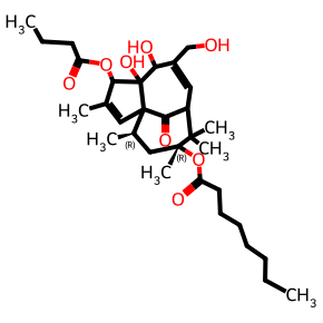 CCCCCCCC(=O)O[C@]1(C)C[C@@H](C)C23C=C(C)C(OC(=O)CCC)C2(O)C(O)C(CO)=CC(C3=O)C1(C)C